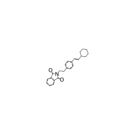 O=C1c2ccccc2C(=O)N1CCc1ccc(C=CC2CCCCC2)cc1